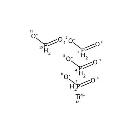 O=[PH2][O-].O=[PH2][O-].O=[PH2][O-].O=[PH2][O-].[Ti+4]